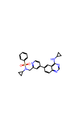 O=S(=O)(c1ccccc1)N(Cc1cc(-c2ccc3ncnc(NC4CC4)c3c2)ccn1)C1CC1